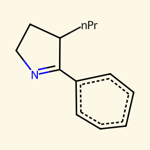 CCCC1CCN=C1c1ccccc1